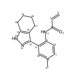 C=CC(=O)Nc1ccc(C)cc1-c1n[nH]c2c1CCCC2